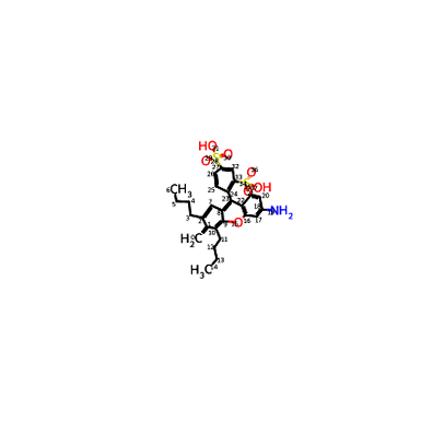 C=c1c(CCCC)cc2c(c1CCCC)Oc1cc(N)ccc1C=2c1ccc(S(=O)(=O)O)cc1S(=O)(=O)O